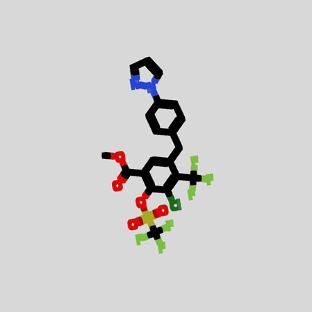 COC(=O)c1cc(Cc2ccc(-n3cccn3)cc2)c(C(F)(F)F)c(Cl)c1OS(=O)(=O)C(F)(F)F